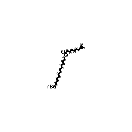 CCCCC=CC=CC=CCCCCCCCCOC(=O)CCCCCCC1CC1